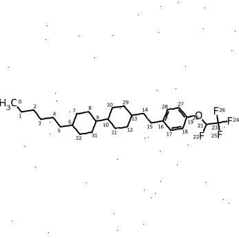 CCCCCCC1CCC(C2CCC(CCc3ccc(OC(F)C(F)(F)F)cc3)CC2)CC1